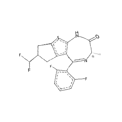 C[C@@H]1N=C(c2c(F)cccc2F)c2c(sc3c2CC(C(F)F)C3)NC1=O